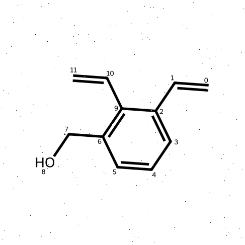 C=Cc1cccc([CH]O)c1C=C